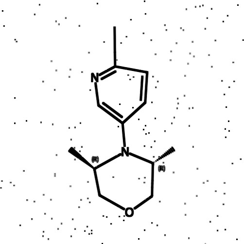 Cc1ccc(N2[C@H](C)COC[C@H]2C)cn1